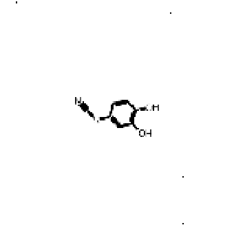 N#CSc1ccc(O)c(O)c1